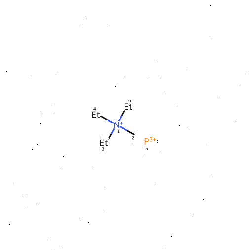 CC[N+](C)(CC)CC.[P+3]